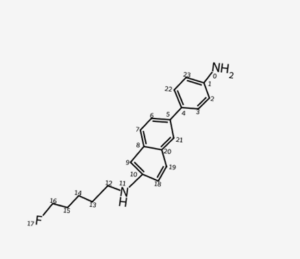 Nc1ccc(-c2ccc3cc(NCCCCCF)ccc3c2)cc1